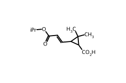 CC(C)OC(=O)/C=C/C1C(C(=O)O)C1(C)C